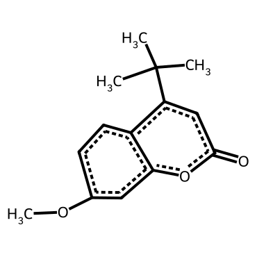 COc1ccc2c(C(C)(C)C)cc(=O)oc2c1